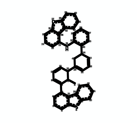 CC1C(c2cccc3sc4ccccc4c23)=CC=CC1C1=CC=CC(c2ccccc2Nc2cccc3oc4ccccc4c23)C1